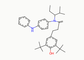 C=C(CCc1cc(C(C)(C)C)c(O)c(C(C)(C)C)c1)N(c1ccc(Nc2ccccc2)cc1)C(CC)C(C)C